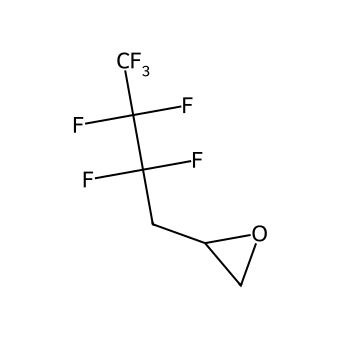 FC(F)(F)C(F)(F)C(F)(F)CC1CO1